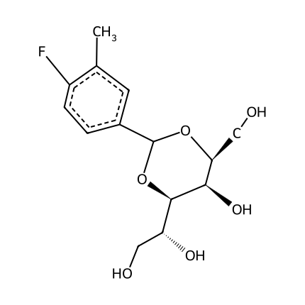 Cc1cc(C2O[C@H]([C@H](O)CO)[C@H](O)[C@H](CO)O2)ccc1F